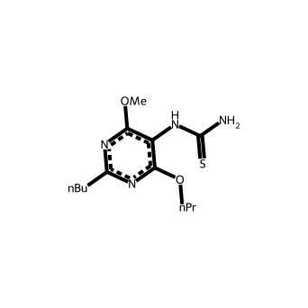 CCCCc1nc(OC)c(NC(N)=S)c(OCCC)n1